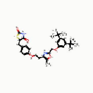 Cc1oc(COc2cc(C(C)(C)C)cc(C(C)(C)C)c2)nc1CCOc1ccc(CC2SC(=O)NC2=O)cc1